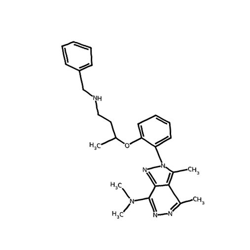 Cc1nnc(N(C)C)c2nn(-c3ccccc3OC(C)CCNCc3ccccc3)c(C)c12